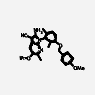 COc1ccc(COc2ccc(C)c(-n3c(N)c(C#N)c4cc(OC(C)C)c(C)nc43)c2C)cc1